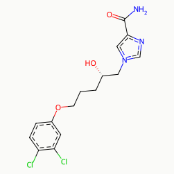 NC(=O)c1cn(C[C@@H](O)CCCOc2ccc(Cl)c(Cl)c2)cn1